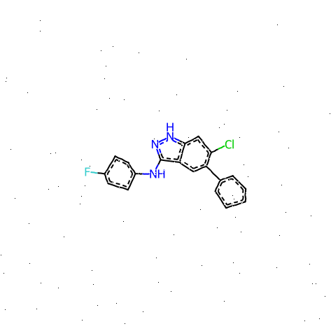 Fc1ccc(Nc2n[nH]c3cc(Cl)c(-c4ccccc4)cc23)cc1